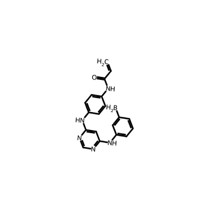 Bc1cccc(Nc2cc(Nc3ccc(NC(=O)C=C)cc3)ncn2)c1